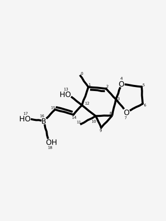 CC1=CC2(OCCO2)C2CC2(C)C1(O)C=CB(O)O